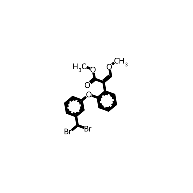 COC=C(C(=O)OC)c1ccccc1Oc1cccc(C(Br)Br)c1